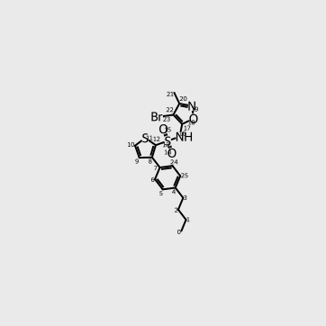 CCCCc1ccc(-c2ccsc2S(=O)(=O)Nc2onc(C)c2Br)cc1